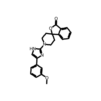 COc1cccc(-c2c[nH]c(N3CCC4(CC3)OC(=O)c3ccccc34)n2)c1